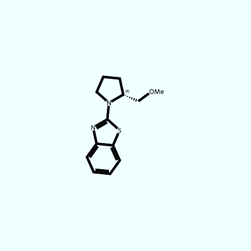 COC[C@H]1CCCN1c1nc2ccccc2s1